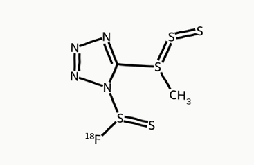 CS(=S=S)c1nnnn1S([18F])=S